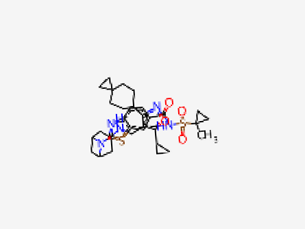 CC1(S(=O)(=O)NC(=O)c2ccc3nc(N4C5CC(NCc6c(C7CCC8(CC7)CC8)noc6C6CC6)CC4C5)sc3c2)CC1